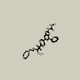 CCNC(=O)Nc1nc2cc(-c3cnc(C(C)(C)C(NCCN4CCOCC4)C(=O)O)nc3)cc(-c3ccccn3)c2s1